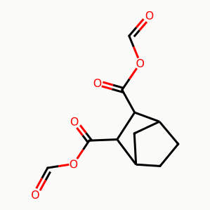 O=COC(=O)C1C2CCC(C2)C1C(=O)OC=O